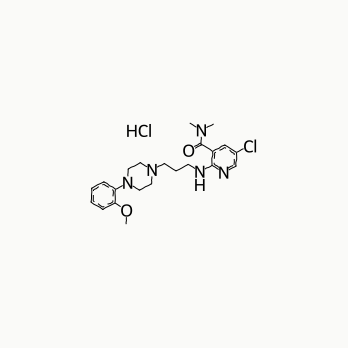 COc1ccccc1N1CCN(CCCNc2ncc(Cl)cc2C(=O)N(C)C)CC1.Cl